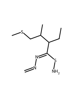 C=N/N=C(\SN)C(CC)C(C)CSC